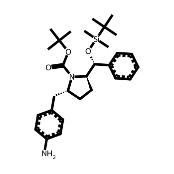 CC(C)(C)OC(=O)N1[C@@H](Cc2ccc(N)cc2)CC[C@@H]1[C@H](O[Si](C)(C)C(C)(C)C)c1ccccc1